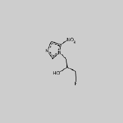 O=[N+]([O-])c1cncn1CC(O)CF